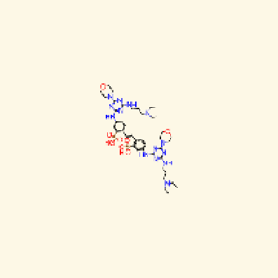 CCN(CC)CCCNc1nc(Nc2ccc(/C=C/c3ccc(Nc4nc(NCCCN(CC)CC)nc(N5CCOCC5)n4)cc3S(=O)(=O)O)c(S(=O)(=O)O)c2)nc(N2CCOCC2)n1